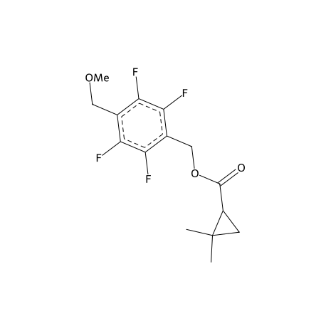 COCc1c(F)c(F)c(COC(=O)C2CC2(C)C)c(F)c1F